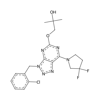 CC(C)(O)COc1nc(N2CCC(F)(F)C2)c2nnn(Cc3ccccc3Cl)c2n1